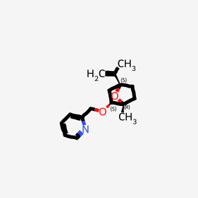 C=C(C)[C@@]12CC[C@@](C)(O1)[C@@H](OCc1ccccn1)C2